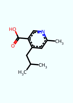 Cc1cc(CC(C)C)c(C(=O)O)cn1